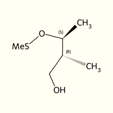 CSO[C@@H](C)[C@H](C)CO